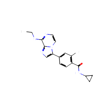 CCNc1nccn2c(-c3ccc(C(=O)NC4CC4)c(C)c3)cnc12